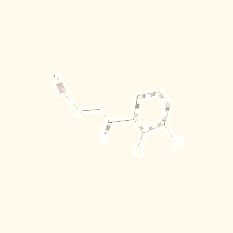 N#CSCC(=O)c1cccc(Cl)c1Cl